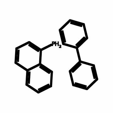 Pc1cccc2ccccc12.c1ccc(-c2ccccc2)cc1